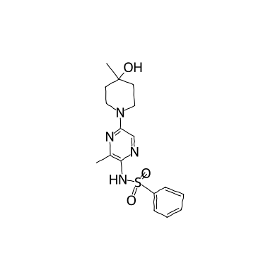 Cc1nc(N2CCC(C)(O)CC2)cnc1NS(=O)(=O)c1ccccc1